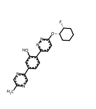 Cc1cnc(-c2ccc(-c3ccc(O[C@H]4CCCC[C@H]4F)nn3)c(O)c2)cn1